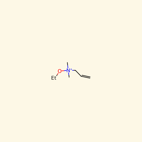 C=CC[N+](C)(C)OCC